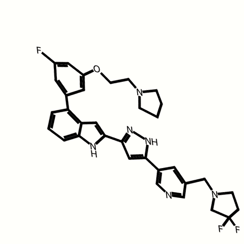 Fc1cc(OCCN2CCCC2)cc(-c2cccc3[nH]c(-c4cc(-c5cncc(CN6CCC(F)(F)C6)c5)[nH]n4)cc23)c1